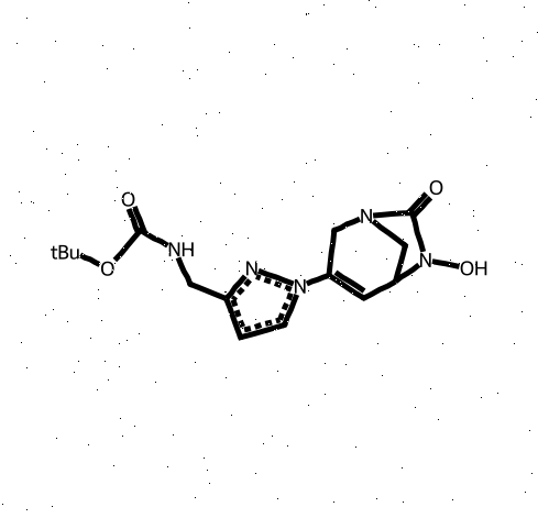 CC(C)(C)OC(=O)NCc1ccn(C2=CC3CN(C2)C(=O)N3O)n1